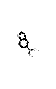 CN(C)c1ccc2ncsc2c1